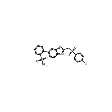 NS(=O)(=O)c1ccccc1-c1ccc2[nH]c(CS(=O)(=O)c3ccc(Cl)cc3)nc2c1